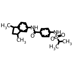 CC1CC(C)c2cc(NC(=O)c3ccc(NS(=O)(=O)C(C)C)cc3)ccc21